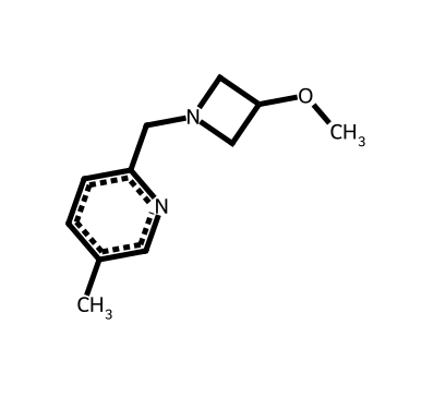 COC1CN(Cc2ccc(C)cn2)C1